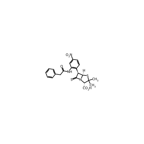 CC1(C)S[C@@H]2[C@H](c3ccc([N+](=O)[O-])cc3NC(=O)Cc3ccccc3)C(=S)N2[C@H]1C(=O)O